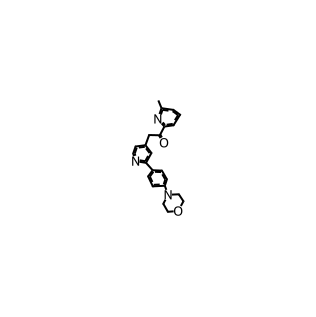 Cc1cccc(C(=O)Cc2ccnc(-c3ccc(N4CCOCC4)cc3)c2)n1